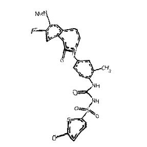 CNc1cc2ccn(-c3ccc(NC(=O)NS(=O)(=O)c4ccc(Cl)s4)c(C)c3)c(=O)c2cc1F